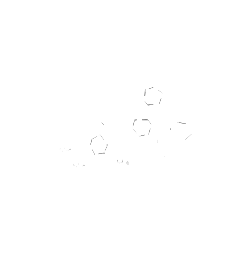 COc1cc(C(=O)C(CCCc2ccccc2)Cc2ccc(OC3(C)C=CC=CC3C(=O)O)cc2)cc(OC)c1OC